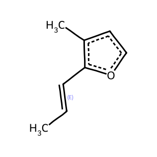 C/C=C/c1occc1C